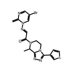 C=C1N=CC(Br)=CN1/N=C/C(=O)N1CCn2c(-c3ccsc3)nnc2C1C